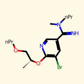 CCCOC[C@@H](C)Oc1ncc(C(=N)N(C)CCC)cc1Br